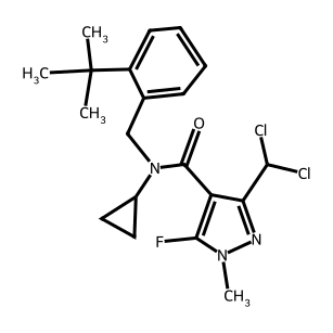 Cn1nc(C(Cl)Cl)c(C(=O)N(Cc2ccccc2C(C)(C)C)C2CC2)c1F